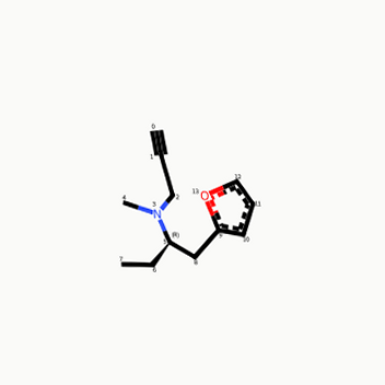 C#CCN(C)[C@H](CC)Cc1ccco1